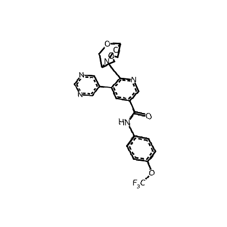 O=C(Nc1ccc(OC(F)(F)F)cc1)c1cnc(N2CC3COCC2CO3)c(-c2cncnc2)c1